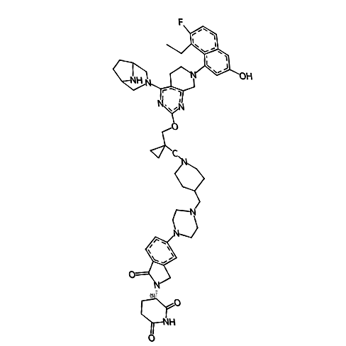 CCc1c(F)ccc2cc(O)cc(N3CCc4c(nc(OCC5(CN6CCC(CN7CCN(c8ccc9c(c8)CN([C@H]8CCC(=O)NC8=O)C9=O)CC7)CC6)CC5)nc4N4CC5CCC(C4)N5)C3)c12